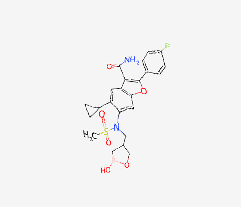 CS(=O)(=O)N(CC1COB(O)C1)c1cc2oc(-c3ccc(F)cc3)c(C(N)=O)c2cc1C1CC1